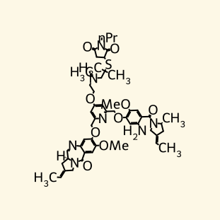 C/C=C1\C[C@@H](C)N(C(=O)c2cc(OC)c(OCc3cc(OCCN(C)CC(C)(C)SC4CC(=O)N(CCC)C4=O)cc(COc4cc5c(cc4OC)C(=O)N4C/C(=C/C)C[C@H]4C=N5)n3)cc2N)C1